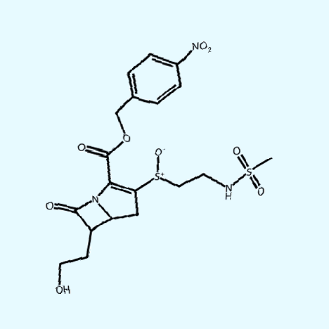 CS(=O)(=O)NCC[S+]([O-])C1=C(C(=O)OCc2ccc([N+](=O)[O-])cc2)N2C(=O)C(CCO)C2C1